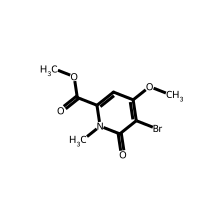 COC(=O)c1cc(OC)c(Br)c(=O)n1C